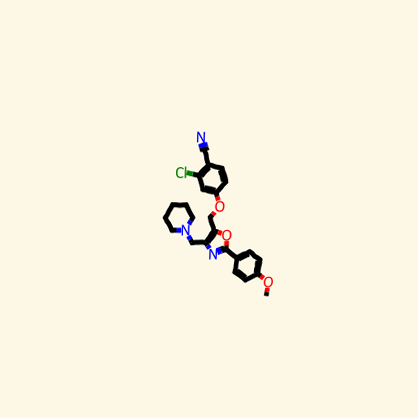 COc1ccc(-c2nc(CN3CCCCC3)c(COc3ccc(C#N)c(Cl)c3)o2)cc1